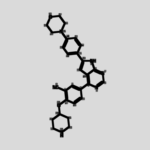 N#Cc1cc(-c2ncnc3[nH]c(-c4ccc(N5CCOCC5)cc4)cc23)ccc1OC1CCNCC1